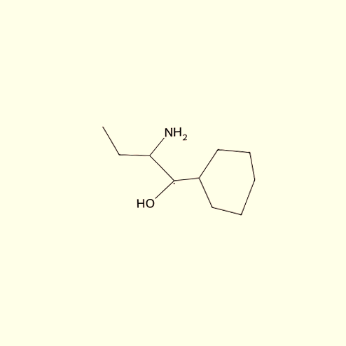 CCC(N)[C](O)C1CCCCC1